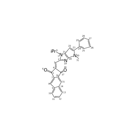 CC(C)n1c(C=C2C(=O)c3cc4ccccc4cc3C2=O)nc2c1cc(-c1ccccc1)n2C